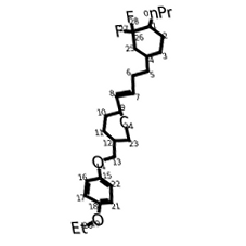 CCCC1CCC(CC/C=C/C2CCC(COc3ccc(OCC)cc3)CC2)CC1(F)F